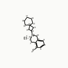 CC[C@H]1Cc2c(F)cccc2CN1C1CC2(CCCCC2)C1